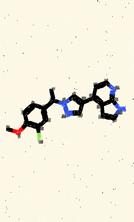 COc1ccc(C(C)n2cc(-c3ccnc4[nH]ccc34)cn2)cc1F